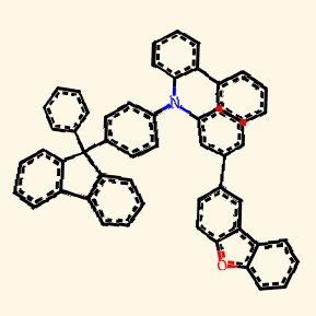 c1ccc(-c2ccccc2N(c2ccc(C3(c4ccccc4)c4ccccc4-c4ccccc43)cc2)c2cccc(-c3ccc4oc5ccccc5c4c3)c2)cc1